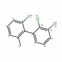 Cc1[c]ccc(Cl)c1-c1cccc(Cl)c1Cl